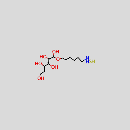 OCC[C@@H](O)/C(O)=C(\O)[C@@H](O)OCCCCCCNS